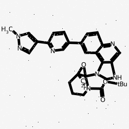 [2H]CC12CCCN(C(=O)OC(C)(C)C)C1(N1CNc3cnc4ccc(-c5ccc(-c6cnn(C)c6)nc5)cc4c31)O2